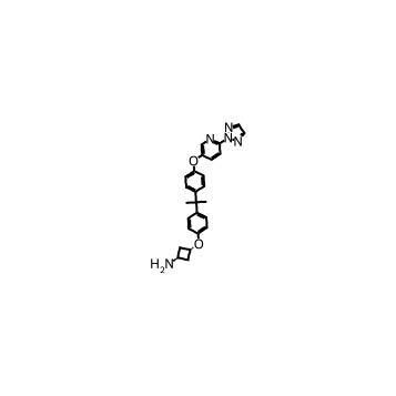 CC(C)(c1ccc(Oc2ccc(-n3nccn3)nc2)cc1)c1ccc(O[C@H]2C[C@H](N)C2)cc1